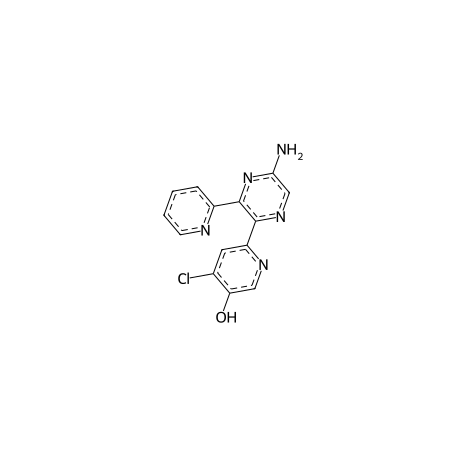 Nc1cnc(-c2cc(Cl)c(O)cn2)c(-c2ccccn2)n1